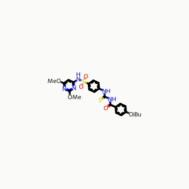 COc1cc(NS(=O)(=O)c2ccc(NC(=S)NC(=O)c3ccc(OCC(C)C)cc3)cc2)nc(OC)n1